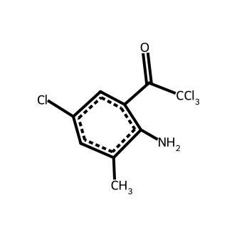 Cc1cc(Cl)cc(C(=O)C(Cl)(Cl)Cl)c1N